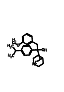 COc1cccc(CC(O)(c2ccc(C(C)C)cc2)C2CN3CCC2CC3)c1